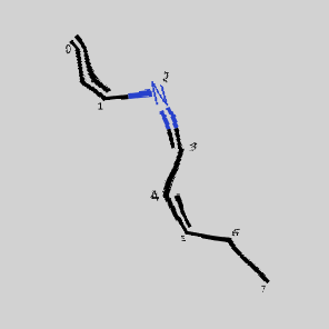 C=C/N=C\C=C/CC